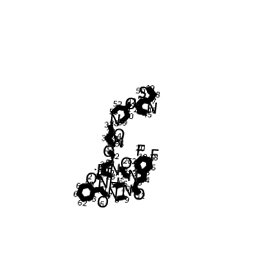 C[CH]C(=O)N[C@H](C(=O)N1CCN(C(=O)c2cc3cc(F)c(F)cc3n2CC(=O)N2CCC[C@H]2COc2cc(CN3CCC(Oc4ccnc5ccsc45)CC3)on2)CC1)C1CCCCC1